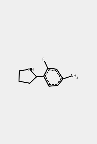 Nc1ccc(C2CCCN2)c(F)c1